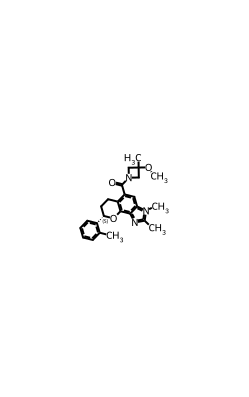 COC1(C)CN(C(=O)c2cc3c(nc(C)n3C)c3c2CC[C@@H](c2ccccc2C)O3)C1